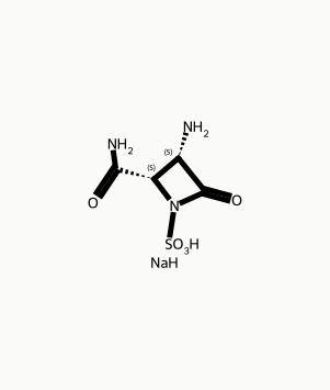 NC(=O)[C@@H]1[C@H](N)C(=O)N1S(=O)(=O)O.[NaH]